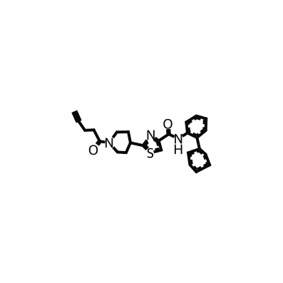 C#CCCC(=O)N1CCC(c2nc(C(=O)Nc3ccccc3-c3ccccc3)cs2)CC1